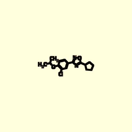 CC(C)Oc1ccc(-c2noc(C3CCCC3)n2)cc1Cl